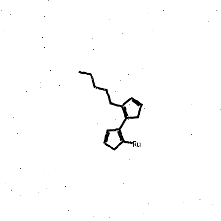 CCCCCC1=C(C2=[C]([Ru])CC=C2)CC=C1